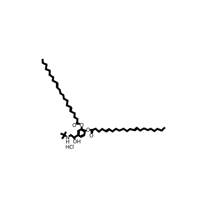 CCCCCCCCC=CCCCCCCC=CCCCC(=O)Oc1ccc(C(O)CNC(C)(C)C)cc1OC(=O)CCCC=CCCCCCCC=CCCCCCCCC.Cl